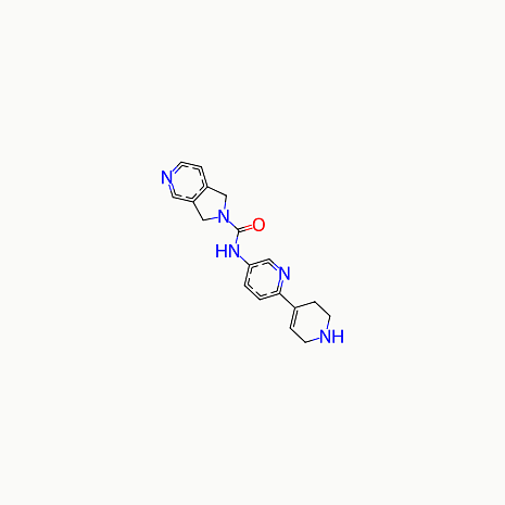 O=C(Nc1ccc(C2=CCNCC2)nc1)N1Cc2ccncc2C1